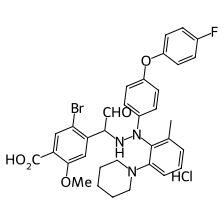 COc1cc(C(C=O)NN(c2ccc(Oc3ccc(F)cc3)cc2)c2c(C)cccc2N2CCCCC2)c(Br)cc1C(=O)O.Cl